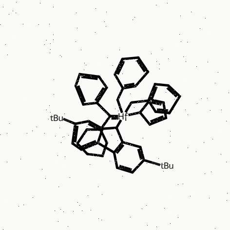 CC(C)(C)c1ccc2c(c1)[CH]([Hf]([CH2]c1ccccc1)([CH2]c1ccccc1)(=[C](c1ccccc1)C1CCCCC1)[CH]1C=CC=C1)c1cc(C(C)(C)C)ccc1-2